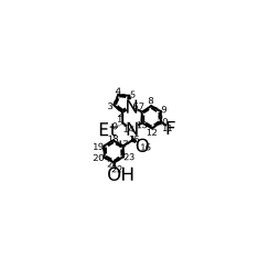 CC[C@@H]1c2cccn2-c2ccc(F)cc2N1C(=O)c1cccc(O)c1